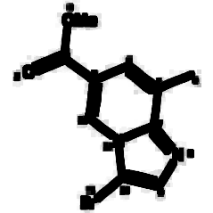 COC(=O)c1cc(C)c2ncc(Br)n2c1